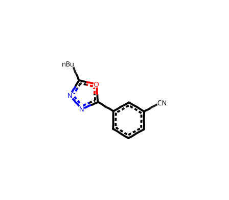 CCCCc1nnc(-c2cccc(C#N)c2)o1